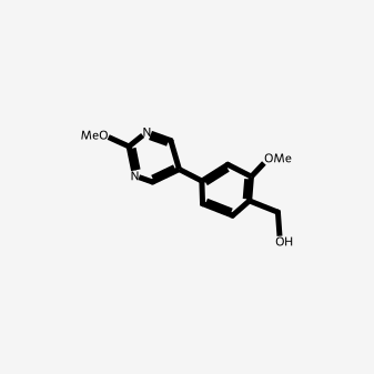 COc1ncc(-c2ccc(CO)c(OC)c2)cn1